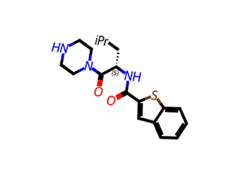 CC(C)C[C@H](NC(=O)c1cc2ccccc2s1)C(=O)N1CCNCC1